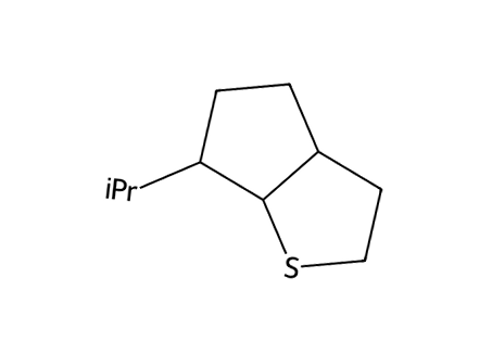 CC(C)C1CCC2CCSC21